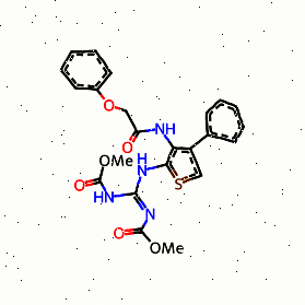 COC(=O)N=C(NC(=O)OC)Nc1scc(-c2ccccc2)c1NC(=O)COc1ccccc1